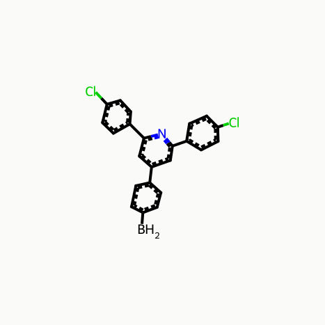 Bc1ccc(-c2cc(-c3ccc(Cl)cc3)nc(-c3ccc(Cl)cc3)c2)cc1